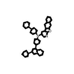 c1ccc(-c2ccc(N(c3ccc(-c4cc(-c5ccccc5)cc5ccccc45)cc3)c3cnc4oc5cc6ccccc6cc5c4c3)cc2)cc1